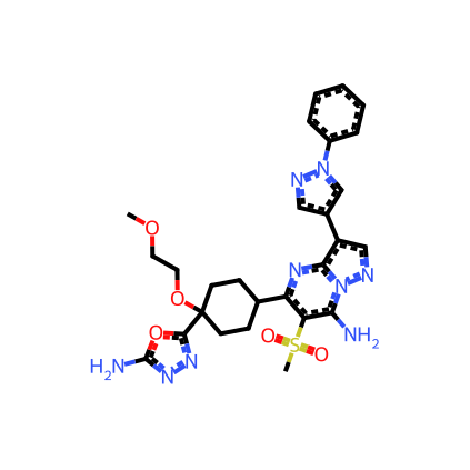 COCCOC1(c2nnc(N)o2)CCC(c2nc3c(-c4cnn(-c5ccccc5)c4)cnn3c(N)c2S(C)(=O)=O)CC1